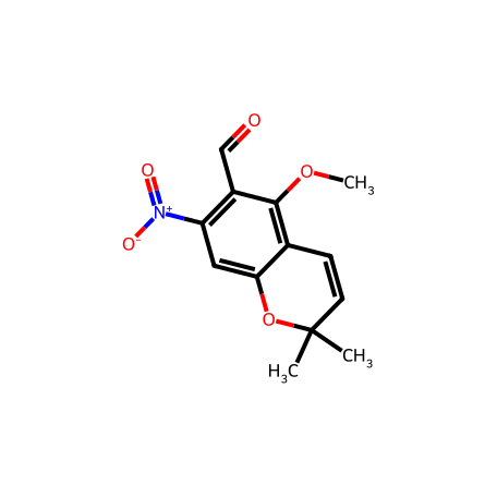 COc1c2c(cc([N+](=O)[O-])c1C=O)OC(C)(C)C=C2